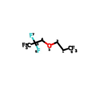 FC(F)(F)CCOCC(F)(F)C(F)(F)F